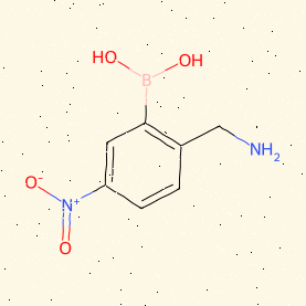 NCc1ccc([N+](=O)[O-])cc1B(O)O